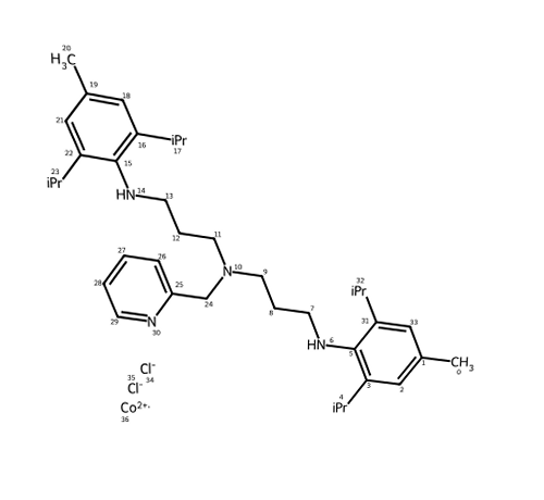 Cc1cc(C(C)C)c(NCCCN(CCCNc2c(C(C)C)cc(C)cc2C(C)C)Cc2ccccn2)c(C(C)C)c1.[Cl-].[Cl-].[Co+2]